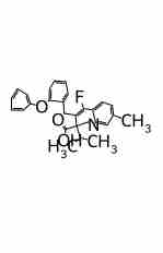 Cc1ccc(/C(F)=C(/Cc2ccccc2Oc2ccccc2)C(C#N)(C(=O)O)C(C)C)cc1